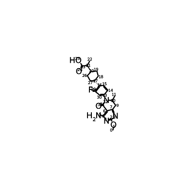 COc1nc(N)c2c(n1)CC(C)N(c1ccc([C@H]3CC[C@H](C(C)C(=O)O)CC3)c(F)c1)C2=O